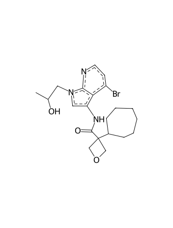 CC(O)Cn1cc(NC(=O)C2(C3CCCCCC3)COC2)c2c(Br)ccnc21